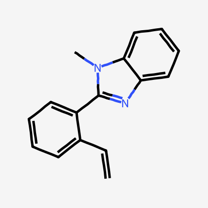 C=Cc1ccccc1-c1nc2ccccc2n1C